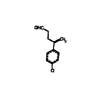 C=C(CCC=O)c1ccc(Cl)cc1